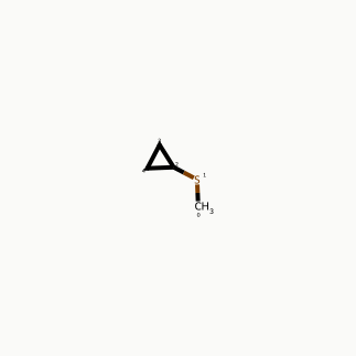 CSC1CC1